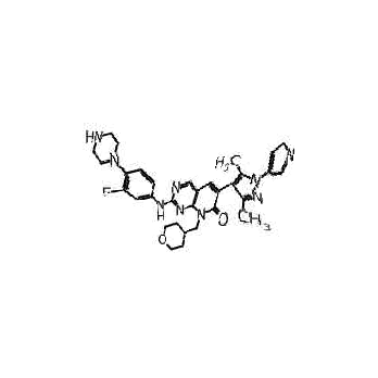 Cc1nn(C2=CCN=C2)c(C)c1-c1cc2cnc(Nc3ccc(N4CCNCC4)c(F)c3)nc2n(CC2CCOCC2)c1=O